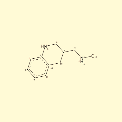 [CH2-][NH2+]CC1CNc2ccccc2C1